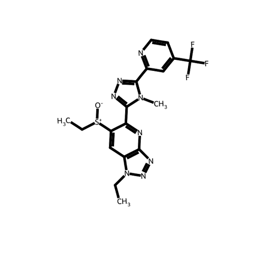 CCn1nnc2nc(-c3nnc(-c4cc(C(F)(F)F)ccn4)n3C)c([S+]([O-])CC)cc21